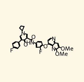 COc1cc2nccc(Oc3ccc(NC(=O)c4cn(C5CCC5)cc(-c5ccc(F)cc5)c4=O)cc3F)c2nc1OC